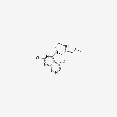 COC[C@H]1CN(c2nc(Cl)nc3cncc(OC)c23)CCN1